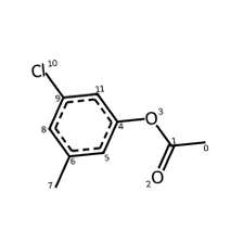 CC(=O)Oc1cc(C)cc(Cl)c1